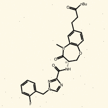 CCCCC(=O)CCc1ccc2c(c1)N(C)C(=O)[C@@H](NC(=O)c1ncn(Cc3ccccc3F)n1)CO2